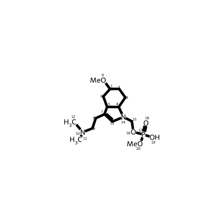 COC1CCC2C(C1)C(CCN(C)C)=CN2COP(=O)(O)OC